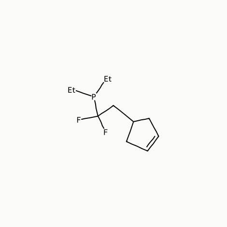 CCP(CC)C(F)(F)CC1CC=CC1